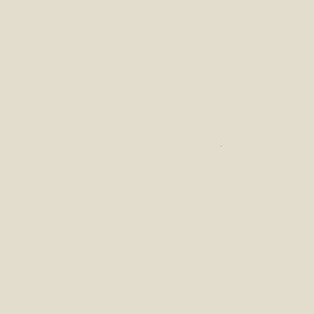 CCC(C)(C)C(=O)OC1CCC2CCC3C4CCC[C@@]4(C)CCC3[C@@]2(C)C1